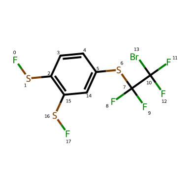 FSc1ccc(SC(F)(F)C(F)(F)Br)cc1SF